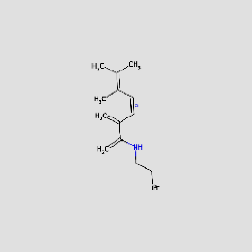 C=C(/C=C\C(C)=C(C)C)C(=C)NCCC(C)C